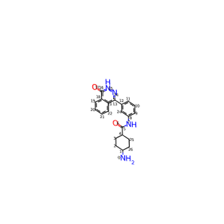 NC1CCC(C(=O)Nc2cccc(-c3n[nH]c(=O)c4ccccc34)c2)CC1